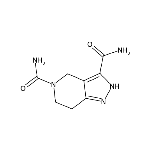 NC(=O)c1[nH]nc2c1CN(C(N)=O)CC2